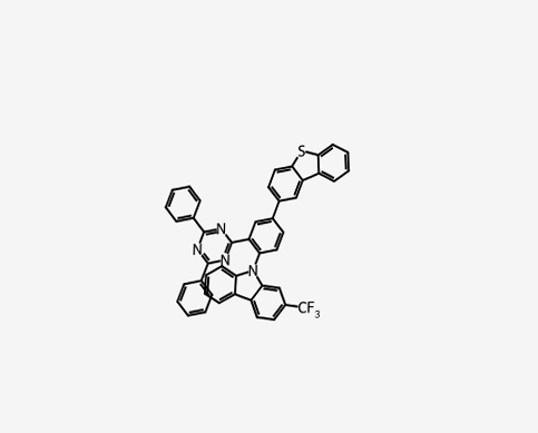 FC(F)(F)c1ccc2c3ccccc3n(-c3ccc(-c4ccc5sc6ccccc6c5c4)cc3-c3nc(-c4ccccc4)nc(-c4ccccc4)n3)c2c1